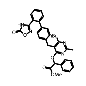 CCCCc1nc(C)nc(OC(C(=O)OC)c2ccccc2)c1Cc1ccc(-c2ccccc2-c2noc(=O)[nH]2)cc1